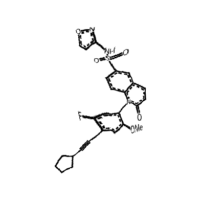 COc1cc(C#CC2CCCC2)c(F)cc1-n1c(=O)ccc2cc(S(=O)(=O)Nc3ccon3)ccc21